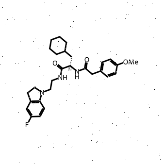 COc1ccc(CC(=O)N[C@@H](CC2CCCCC2)C(=O)NCCN2CCc3cc(F)ccc32)cc1